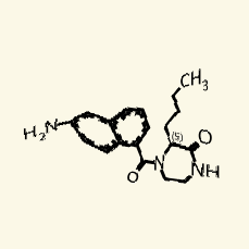 CCCC[C@H]1C(=O)NCCN1C(=O)c1cccc2cc(N)ccc12